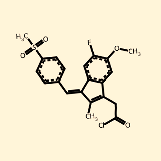 COc1cc2c(cc1F)/C(=C\c1ccc(S(C)(=O)=O)cc1)C(C)=C2CC(=O)Cl